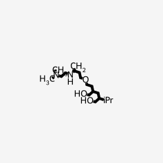 C=C(CCOCCC(CO)CC(CO)C(C)C)NCCN(C)C